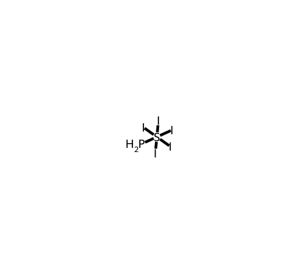 PS(I)(I)(I)(I)I